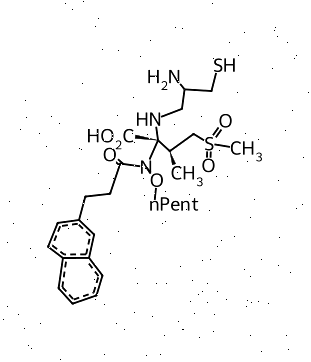 CCCCCON(C(=O)CCc1ccc2ccccc2c1)[C@@](NCC(N)CS)(C(=O)O)[C@H](C)CS(C)(=O)=O